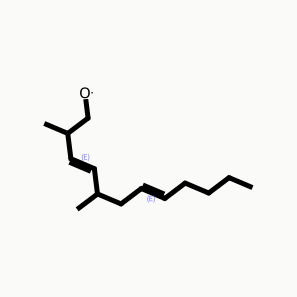 CCCC/C=C/CC(C)/C=C/C(C)C[O]